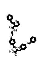 O=C(N[C@@H](Cc1ccc(OCc2ccccc2)cc1)C(=O)O)c1ccc(OCCNC(=O)c2cccnc2Cc2ccccc2)cc1